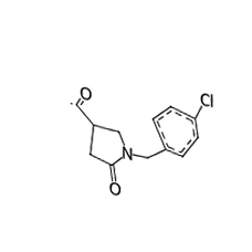 O=[C]C1CC(=O)N(Cc2ccc(Cl)cc2)C1